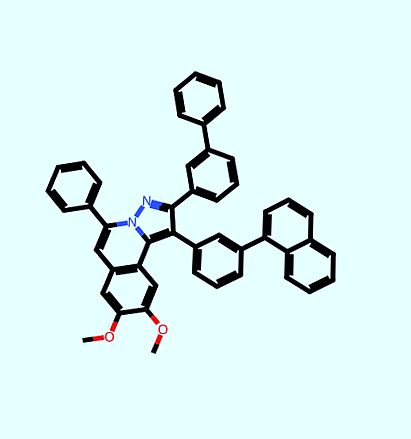 COc1cc2cc(-c3ccccc3)n3nc(-c4cccc(-c5ccccc5)c4)c(-c4cccc(-c5cccc6ccccc56)c4)c3c2cc1OC